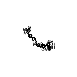 COc1cc(-c2cn(C)c(=O)c3[nH]ncc23)cc(OC)c1CC1CCN(CCN2CCC(c3ccc(NC4CCC(=O)NC4=O)cc3)CC2)CC1